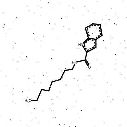 CCCCCCCCNC(=O)c1cc2ccccc2[nH]1